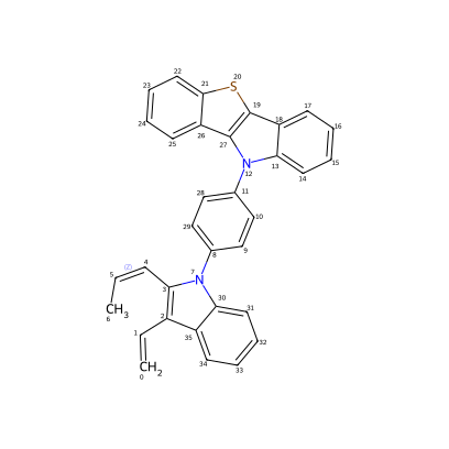 C=Cc1c(/C=C\C)n(-c2ccc(-n3c4ccccc4c4sc5ccccc5c43)cc2)c2ccccc12